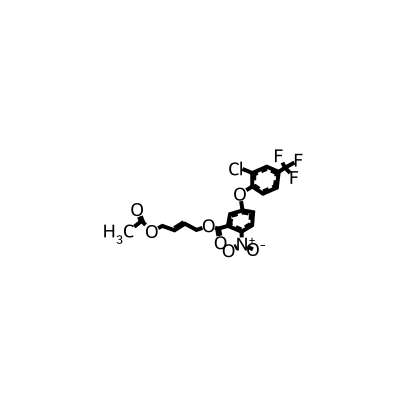 CC(=O)OCC=CCOC(=O)c1cc(Oc2ccc(C(F)(F)F)cc2Cl)ccc1[N+](=O)[O-]